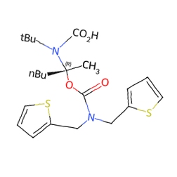 CCCC[C@@](C)(OC(=O)N(Cc1cccs1)Cc1cccs1)N(C(=O)O)C(C)(C)C